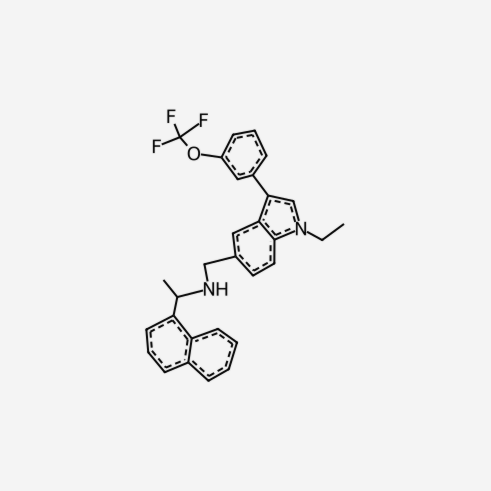 CCn1cc(-c2cccc(OC(F)(F)F)c2)c2cc(CNC(C)c3cccc4ccccc34)ccc21